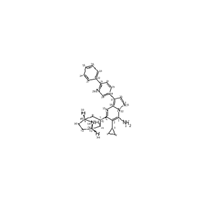 Nc1c(C2CC2)c([C@@H]2C[C@H]3CC[C@@H](C2)N3)nc2c(-c3ccc(-c4ccccc4)nc3)cnn12